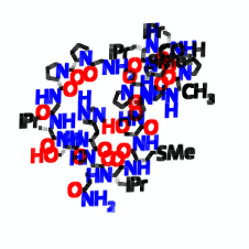 CSCC[C@H](NC(=O)[C@H](CC(C)C)NC(=O)[C@H](CCC(N)=O)NC(=O)[C@H](Cc1c[nH]cn1)NC(=O)[C@H](CO)NC(=O)[C@H](CC(C)C)NC(=O)CNC(=O)[C@@H]1CCCN1C(=O)[C@@H]1CCCN1C(=O)CN)C(=O)N[C@@H](CO)C(=O)NCC(=O)N[C@@H](CCSC)C(=O)N1CCC[C@H]1C(=O)NCC(=O)N[C@@H](C)C(=O)N1CCC[C@H]1C(=O)N[C@@H](CC(C)C)C(=O)N[C@@H](CC(C)C)C(=O)N1CCC[C@H]1C(=O)O